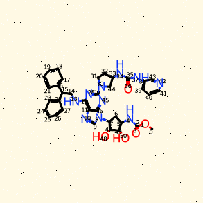 COC(=O)NC1CC(n2cnc3c(NCC(c4ccccc4)c4ccccc4)nc(N4CCC(NC(=O)Nc5cccnc5)C4)nc32)C(O)C1O